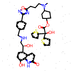 CN(CCCc1nc(-c2ccc(CNC[C@@H](O)c3ccc(O)c4[nH]c(=O)ccc34)cc2)no1)C1CCC(OC(=O)C(O)(c2cccs2)c2cccs2)CC1